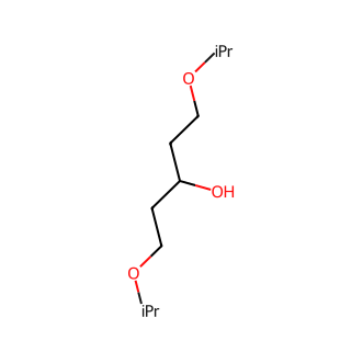 CC(C)OCCC(O)CCOC(C)C